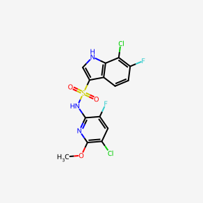 COc1nc(NS(=O)(=O)c2c[nH]c3c(Cl)c(F)ccc23)c(F)cc1Cl